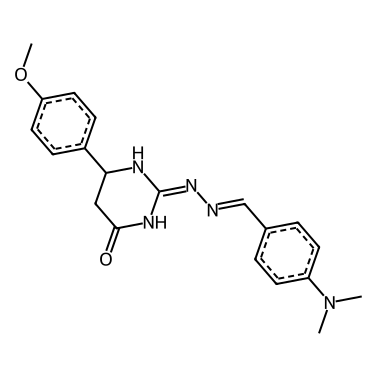 COc1ccc(C2CC(=O)NC(=NN=Cc3ccc(N(C)C)cc3)N2)cc1